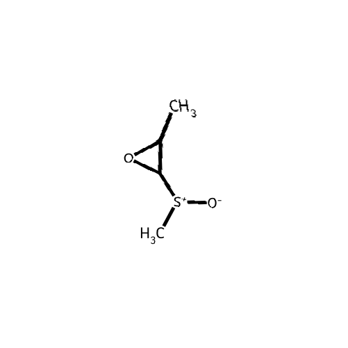 CC1OC1[S+](C)[O-]